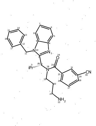 CC(C)[C@H](c1nc2ccccc2n1Cc1ccccc1)N(CCCN)C(=O)c1cccc(C#N)c1